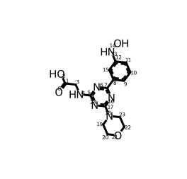 O=C(O)CNc1nc(-c2cccc(NO)c2)nc(N2CCOCC2)n1